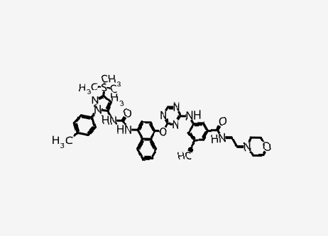 C#Cc1cc(Nc2ncnc(Oc3ccc(NC(=O)Nc4cc(S(C)(C)C)nn4-c4ccc(C)cc4)c4ccccc34)n2)cc(C(=O)NCCN2CCOCC2)c1